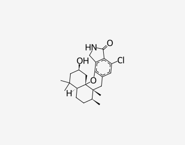 C[C@H]1CC[C@H]2C(C)(C)C[C@@H](O)C[C@]23Oc2c(cc(Cl)c4c2CNC4=O)C[C@]13C